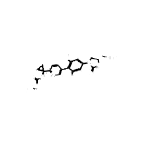 CC(=O)NC[C@H]1CN(c2cc(F)c(-c3ccc(C4(NC(=O)OC(C)(C)C)CC4)nc3)c(F)c2)C(=O)O1